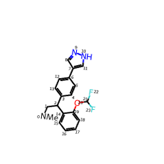 CNCC(c1ccc(-c2cn[nH]c2)cc1)c1ccccc1OC(F)F